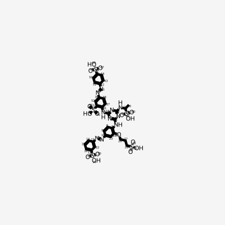 CC(Nc1nc(Nc2ccc(N=Nc3cccc(S(=O)(=O)O)c3)cc2OCCCS(=O)(=O)O)nc(Nc2ccc(N=Nc3ccc(S(=O)(=O)O)cc3)cc2S(=O)(=O)O)n1)S(=O)(=O)O